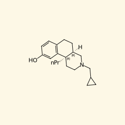 CCC[C@@]12CCN(CC3CC3)C[C@@H]1CCc1ccc(O)cc12